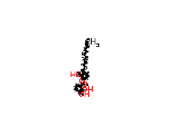 CCCCCCCCCCCCc1cccc(OC(=O)c2cccc(O)c2O)c1O